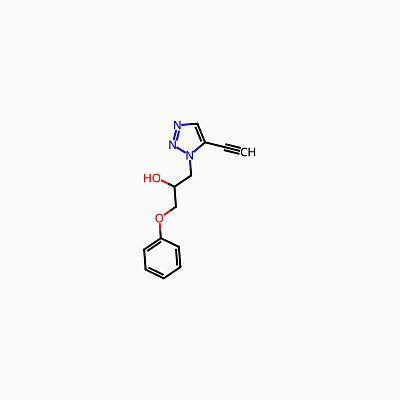 C#Cc1cnnn1CC(O)COc1ccccc1